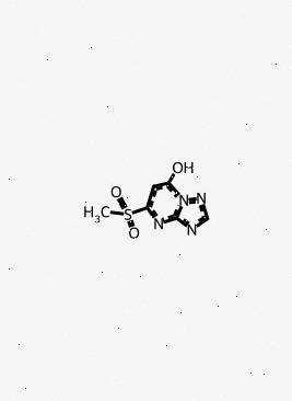 CS(=O)(=O)c1cc(O)n2ncnc2n1